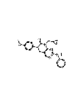 COc1ccc(C2Cc3cnc(Nc4ccccc4)nc3N(CC3CC3)C2=O)cc1